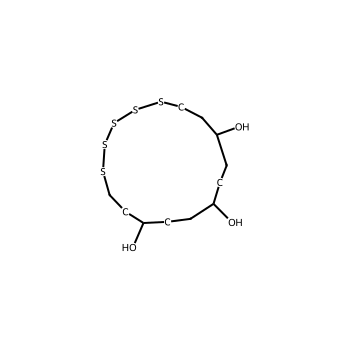 OC1CCSSSSSCCC(O)CCC(O)CC1